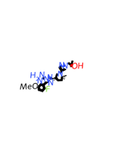 COc1ccc(F)c2c1nc(N)n1nc([C@@H]3CC[C@H](C)N(c4cnn(CC(C)(C)O)c4)C3)nc21